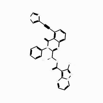 C[C@H](NC(=O)c1c(N)nn2cccnc12)c1nc2cccc(C#Cc3cscn3)c2c(=O)n1-c1ccccc1